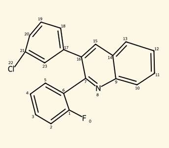 Fc1ccccc1-c1nc2ccccc2cc1-c1cccc(Cl)c1